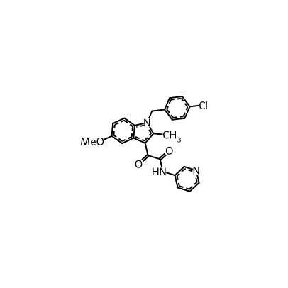 COc1ccc2c(c1)c(C(=O)C(=O)Nc1cccnc1)c(C)n2Cc1ccc(Cl)cc1